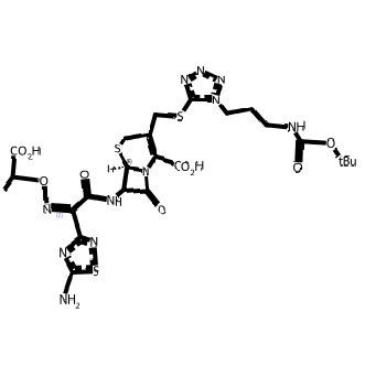 CC(O/N=C(\C(=O)NC1C(=O)N2C(C(=O)O)=C(CSc3nnnn3CCCNC(=O)OC(C)(C)C)CS[C@H]12)c1nsc(N)n1)C(=O)O